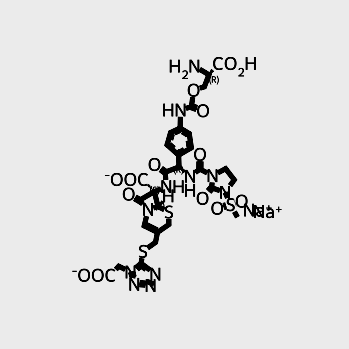 CS(=O)(=O)N1CCN(C(=O)N[C@@H](C(=O)N[C@]2(C(=O)[O-])C(=O)N3C=C(CSc4nnnn4CC(=O)[O-])CS[C@H]32)c2ccc(NC(=O)OC[C@@H](N)C(=O)O)cc2)C1=O.[Na+].[Na+]